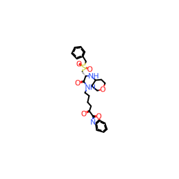 O=C(CCCCNC(=O)[C@H](CS(=O)(=O)Cc1ccccc1)NC1CCOCC1)c1nc2ccccc2o1